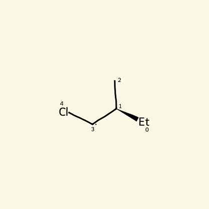 CC[C@H](C)[CH]Cl